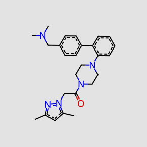 Cc1cc(C)n(CC(=O)N2CCN(c3ccccc3-c3ccc(CN(C)C)cc3)CC2)n1